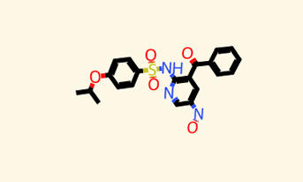 CC(C)Oc1ccc(S(=O)(=O)Nc2ncc(N=O)cc2C(=O)c2ccccc2)cc1